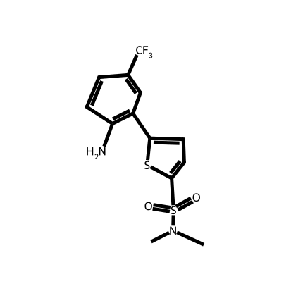 CN(C)S(=O)(=O)c1ccc(-c2cc(C(F)(F)F)ccc2N)s1